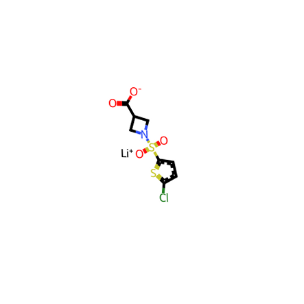 O=C([O-])C1CN(S(=O)(=O)c2ccc(Cl)s2)C1.[Li+]